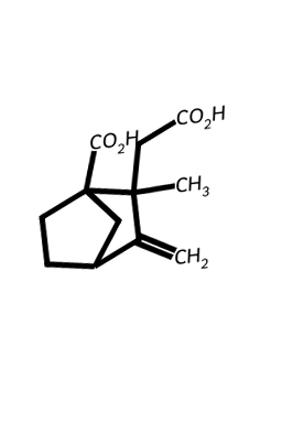 C=C1C2CCC(C(=O)O)(C2)C1(C)CC(=O)O